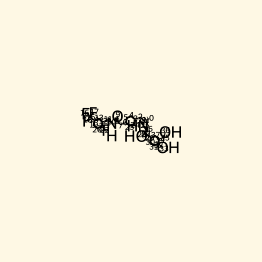 C[C@H](Cc1ccc(CC(=O)NCc2cc(C(F)(F)F)ccc2F)cc1)NC[C@@H](O)c1ccc(O)c(CO)c1